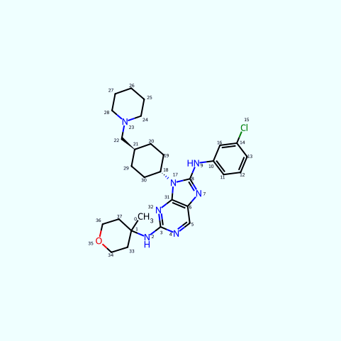 CC1(Nc2ncc3nc(Nc4cccc(Cl)c4)n([C@H]4CC[C@H](CN5CCCCC5)CC4)c3n2)CCOCC1